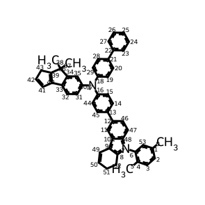 Cc1ccc(C)c(-n2c3c(c4cc(-c5ccc(N(c6ccc(-c7ccccc7)cc6)c6ccc7c(c6)C(C)(C)C6=C7C=CC6)cc5)ccc42)C=CCC3)c1